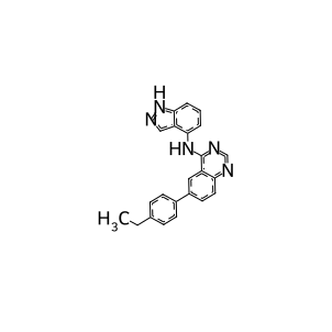 CCc1ccc(-c2ccc3ncnc(Nc4cccc5[nH]ncc45)c3c2)cc1